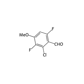 COc1cc(F)c(C=O)c(Cl)c1F